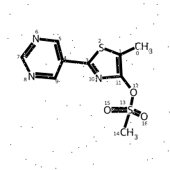 Cc1sc(-c2cncnc2)nc1OS(C)(=O)=O